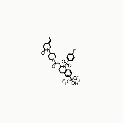 C/C=C1\CCC(=O)N(C2CCN(C(=O)C[C@@H]3CCc4cc(C(O)(C(F)(F)F)C(F)(F)F)ccc4N3S(=O)(=O)c3ccc(F)cc3)CC2)C1